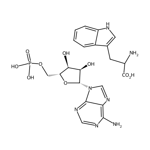 NC(Cc1c[nH]c2ccccc12)C(=O)O.Nc1ncnc2c1ncn2[C@@H]1O[C@H](COP(=O)(O)O)[C@@H](O)[C@H]1O